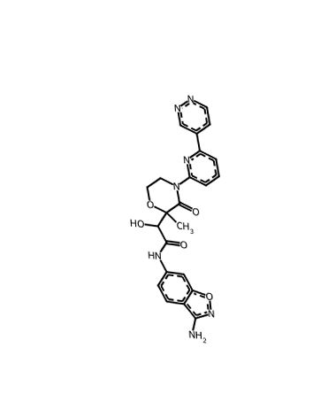 CC1(C(O)C(=O)Nc2ccc3c(N)noc3c2)OCCN(c2cccc(-c3ccnnc3)n2)C1=O